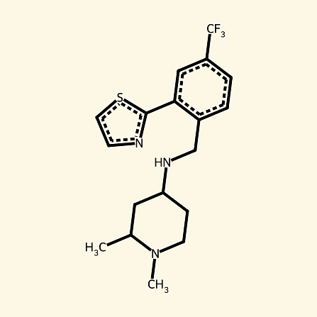 CC1CC(NCc2ccc(C(F)(F)F)cc2-c2nccs2)CCN1C